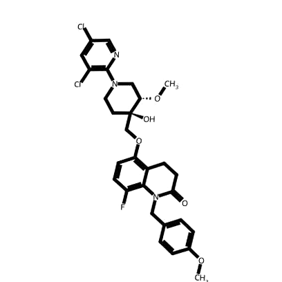 COc1ccc(CN2C(=O)CCc3c(OC[C@]4(O)CCN(c5ncc(Cl)cc5Cl)C[C@@H]4OC)ccc(F)c32)cc1